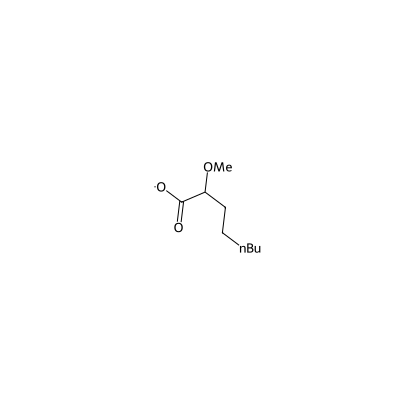 CCCCCCC(OC)C([O])=O